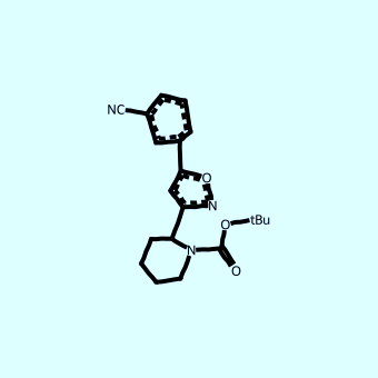 CC(C)(C)OC(=O)N1CCCCC1c1cc(-c2cccc(C#N)c2)on1